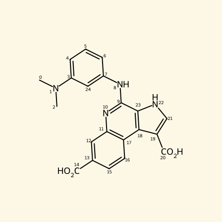 CN(C)c1cccc(Nc2nc3cc(C(=O)O)ccc3c3c(C(=O)O)c[nH]c23)c1